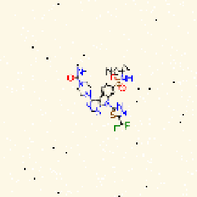 CN(C)C(=O)N1CCN(c2ncnc3c2c2ccc(S(=O)(=O)NC4(C#N)CC4)cc2n3-c2nnc(C(F)F)s2)CC1